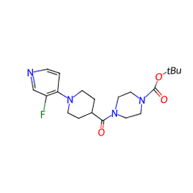 CC(C)(C)OC(=O)N1CCN(C(=O)C2CCN(c3ccncc3F)CC2)CC1